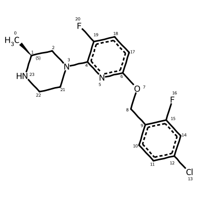 C[C@H]1CN(c2nc(OCc3ccc(Cl)cc3F)ccc2F)CCN1